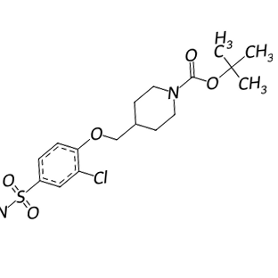 CC(C)(C)OC(=O)N1CCC(COc2ccc(S(N)(=O)=O)cc2Cl)CC1